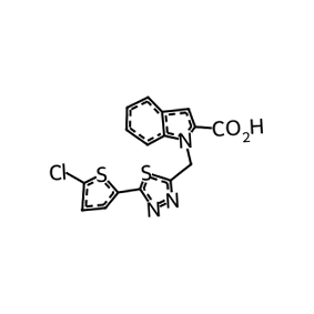 O=C(O)c1cc2ccccc2n1Cc1nnc(-c2ccc(Cl)s2)s1